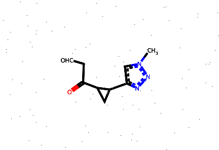 Cn1cc(C2CC2C(=O)CC=O)nn1